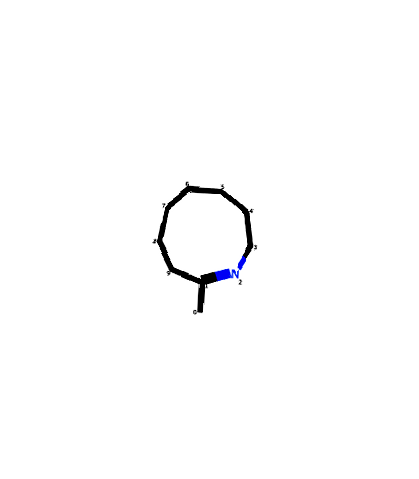 CC1=NCCCCCCC1